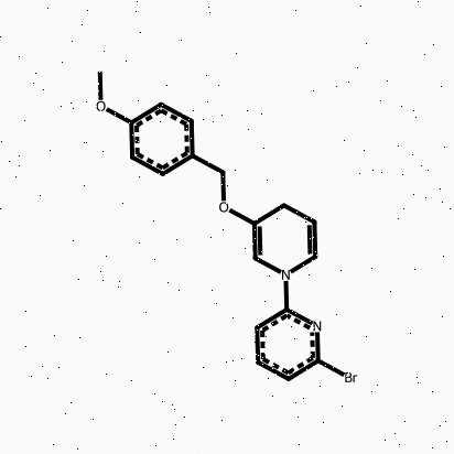 COc1ccc(COC2=CN(c3cccc(Br)n3)C=CC2)cc1